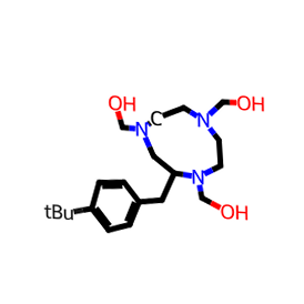 CC(C)(C)c1ccc(CC2CN(CO)CCN(CO)CCN2CO)cc1